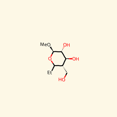 CCC1O[C@@H](OC)[C@H](O)[C@@H](O)[C@@H]1CO